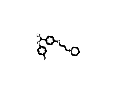 [CH2]CC(Oc1ccc(F)cc1)c1ccc(OCCCN2CCCCC2)cc1